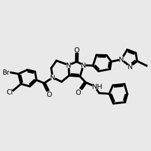 Cc1ccn(-c2ccc(-n3c(C(=O)NCc4ccccc4)c4n(c3=O)CCN(C(=O)c3ccc(Br)c(Cl)c3)C4)cc2)n1